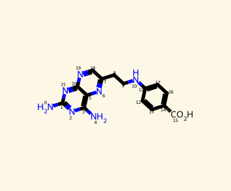 Nc1nc(N)c2nc(CCNc3ccc(C(=O)O)cc3)cnc2n1